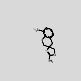 Bc1cccc2c1OCC1(COC(N)=N1)C2